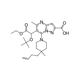 C=CCCC1(C)CCN(c2c(C(OC(C)(C)C)C(=O)OCC)c(C)nc3cc(C(=O)O)nn23)CC1